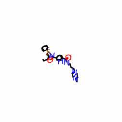 CCc1oc(-c2ccc(C(=O)NCCCN3CCN(C)CC3)cc2)nc1CSc1ccccc1